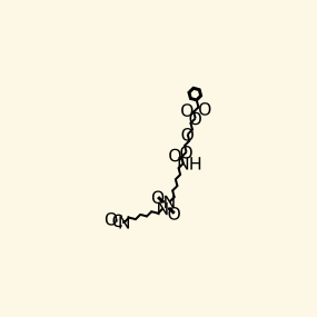 O=C=NCCCCCCN1C(=O)N(CCCCCCNC(=O)OCCOCCOC(=O)C(=O)c2ccccc2)C1=O